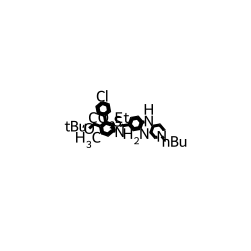 CCCCN1CCC(Nc2ccc(-c3nc4cc(C)c([C@H](OC(C)(C)C)C(=O)OCC)c(-c5ccc(Cl)cc5)c4s3)cc2N)CC1